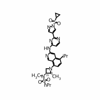 CCCS(=O)(=O)N(C)[C@H]1CN(c2ccc(C(C)C)c3cc(Nc4ccnc(-c5cnn(S(=O)(=O)C6CC6)c5)n4)ncc23)[C@@H]1C